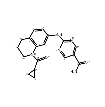 NC(=O)c1cnc(Nc2ccc3c(c2)N(C(=O)C2CC2)CCC3)nc1